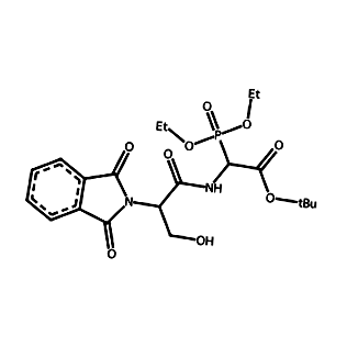 CCOP(=O)(OCC)C(NC(=O)C(CO)N1C(=O)c2ccccc2C1=O)C(=O)OC(C)(C)C